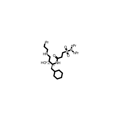 CCCN(CCC)S(=O)(=O)CCC(=O)N[C@@H](CC1CCCCC1)[C@H](O)CNCCC(C)C